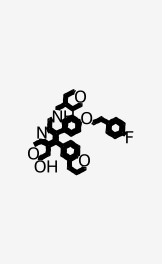 Cc1nc(CNCC2CCOCC2)c(-c2ccc(OCCc3ccc(F)cc3)cc2)c(-c2ccc3c(c2)CCCO3)c1CC(=O)O